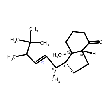 CC(/C=C/[C@@H](C)[C@H]1CC[C@H]2C(=O)CCC[C@]12C)C(C)(C)C